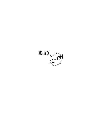 CC(C)COC1CN2CCC1CC2